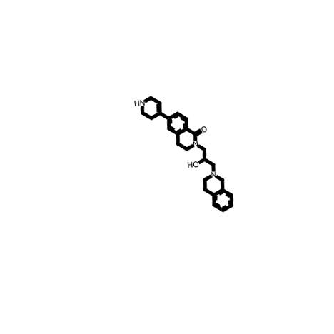 O=C1c2ccc(C3=CCNCC3)cc2CCN1CC(O)CN1CCc2ccccc2C1